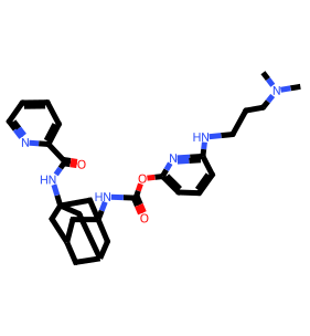 CN(C)CCCNc1cccc(OC(=O)NC23CC4CC(C2)CC(NC(=O)c2ccccn2)(C4)C3)n1